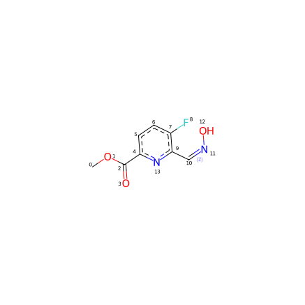 COC(=O)c1ccc(F)c(/C=N\O)n1